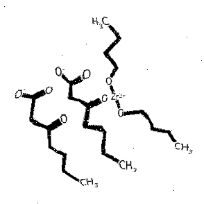 CCCCC(=O)CC(=O)[O-].CCCCC(=O)CC(=O)[O-].CCCC[O][Zr+2][O]CCCC